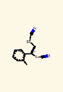 Cc1ccccc1/C(=C\[Se]C#N)[Se]C#N